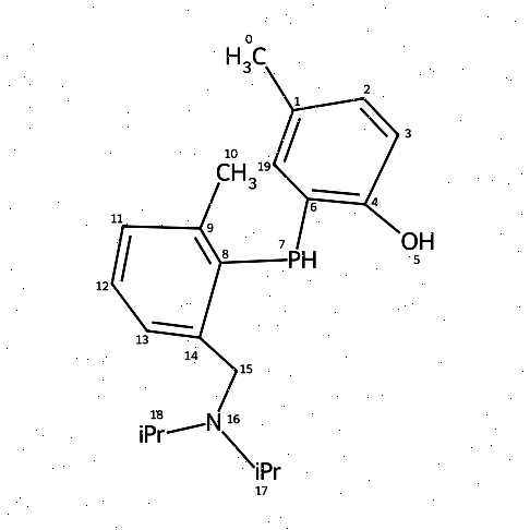 Cc1ccc(O)c(Pc2c(C)cccc2CN(C(C)C)C(C)C)c1